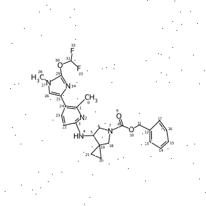 Cc1nc(NC2CN(C(=O)OCc3ccccc3)CC23CC3)ccc1-c1cn(C)c(OC(F)F)n1